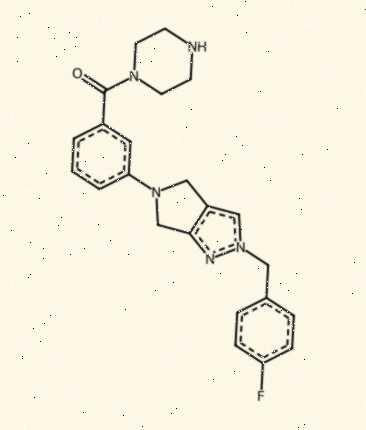 O=C(c1cccc(N2Cc3cn(Cc4ccc(F)cc4)nc3C2)c1)N1CCNCC1